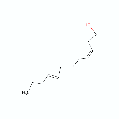 CCC/C=C/C=C/C/C=C\CCO